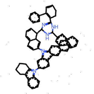 C1=CC(C2N=C(C3=C(c4ccccc4)C=CCC3)NC(c3ccc4ccccc4c3)N2)C2C=C(n3c4cc(-n5c6c(c7ccccc75)CCCC6)ccc4c4cc5ccccc5cc43)C=CC2=C1